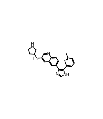 Cc1cccc(-c2[nH]cnc2-c2ccc3ncc(NC4CCNC4)cc3c2)n1